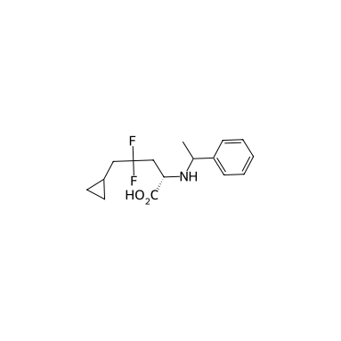 CC(N[C@@H](CC(F)(F)CC1CC1)C(=O)O)c1ccccc1